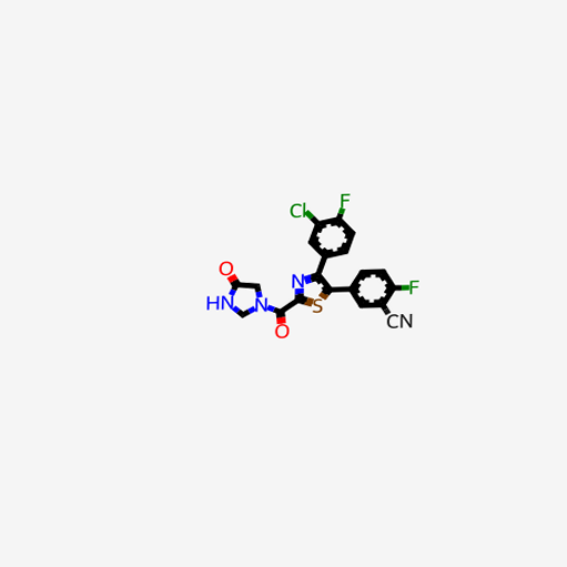 N#Cc1cc(-c2sc(C(=O)N3CNC(=O)C3)nc2-c2ccc(F)c(Cl)c2)ccc1F